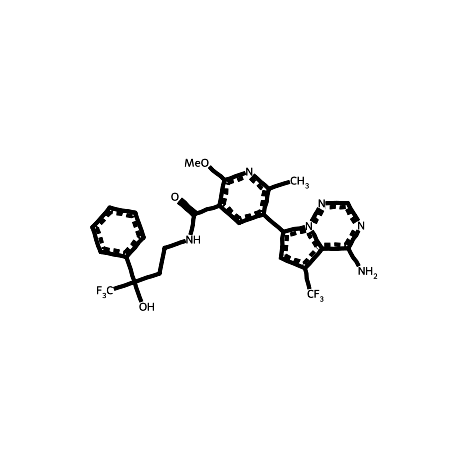 COc1nc(C)c(-c2cc(C(F)(F)F)c3c(N)ncnn23)cc1C(=O)NCCC(O)(c1ccccc1)C(F)(F)F